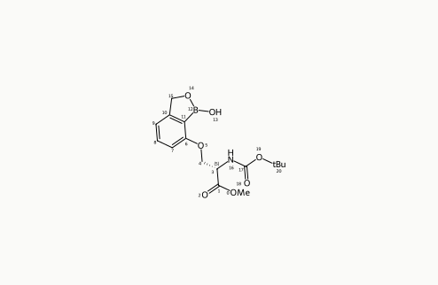 COC(=O)[C@H](COc1cccc2c1B(O)OC2)NC(=O)OC(C)(C)C